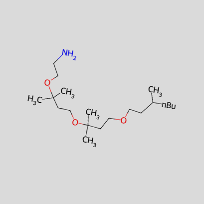 CCCCC(C)CCOCCC(C)(C)OCCC(C)(C)OCCN